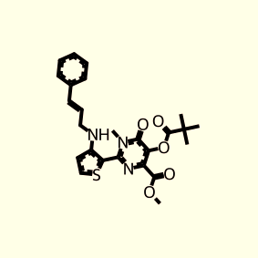 COC(=O)c1nc(-c2sccc2NC/C=C/c2ccccc2)n(C)c(=O)c1OC(=O)C(C)(C)C